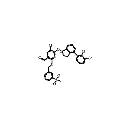 CS(=O)(=O)c1cncc(COc2nc(O[C@H]3CCc4c(-c5cccc(Br)c5Cl)cccc43)c(Cl)cc2C=O)c1